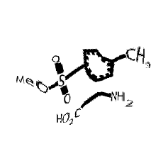 COS(=O)(=O)c1ccc(C)cc1.NCC(=O)O